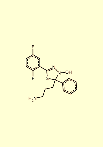 NCCCC1(c2ccccc2)SC(c2cc(F)ccc2F)=NN1O